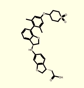 Cc1cc(OC2CCS(=O)(=O)CC2)cc(C)c1-c1cccc2c1OC[C@H]2Nc1ccc2c(c1)OC[C@H]2CC(=O)O